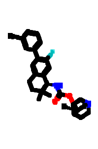 CC(C)c1cccc(-c2cc3c(cc2F)[C@H](NC(=O)O[C@H]2CN4CCC2CC4)C(C)(C)CC3)c1